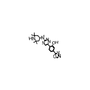 CN(c1ncc(-c2ccc(-c3nnco3)cc2O)nn1)C1CC(C)(C)NC(C)(C)C1